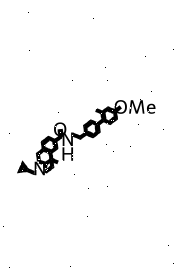 COc1ccc(-c2ccc(CCNC(=O)c3ccc4c(c3)C3(C)CCN(CC5CC5)C(C4)C3C)cc2)c(C)c1